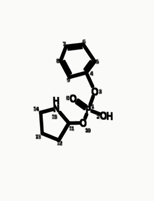 O=P(O)(Oc1ccccc1)OC1CCCN1